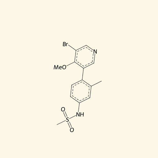 COc1c(Br)cncc1-c1ccc(NS(C)(=O)=O)cc1C